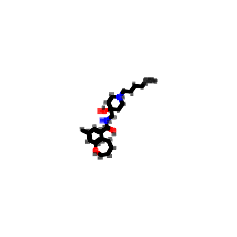 COCCCCN1CCC(O)(CNC(=O)c2cc(C)cc3c2CCCCO3)CC1